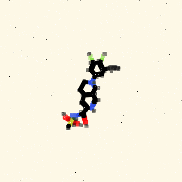 COc1cc(N2CCc3cc(C(=O)NS(C)(=O)=O)ncc3C2)cc(F)c1F